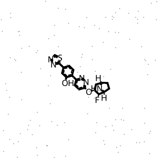 Oc1cc(-c2nncs2)ccc1-c1ccc(O[C@H]2C[C@@H]3CC[C@@H](N3)[C@H]2F)nn1